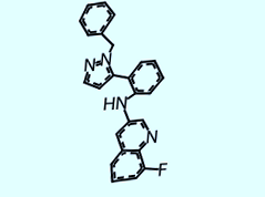 Fc1cccc2cc(Nc3ccccc3-c3ccnn3Cc3ccccc3)cnc12